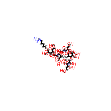 CC(=O)NC1C(O/C(=C(/O)C(O)OC(CCO)/C(O)=C(\O)C(O)OC2C(CO)OC(OCCCCCN)C(O)C2O)C(O)CCO)OC(CO)C(O)C1OC(O)/C(O)=C(\O)C(O)CCO